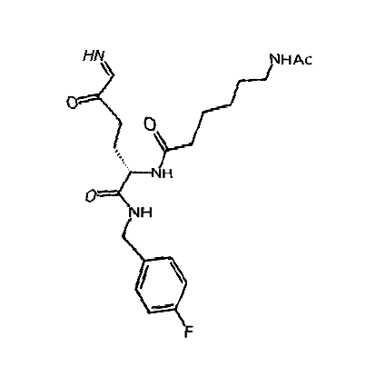 CC(=O)NCCCCCC(=O)N[C@@H](CCC(=O)C=N)C(=O)NCc1ccc(F)cc1